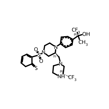 C[C@@](O)(c1ccc(N2CCN(S(=O)(=O)C3=CC=CCC3=S)C[C@@H]2CN2CCN[C@@H](C(F)(F)F)C2)cc1)C(F)(F)F